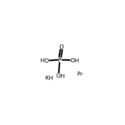 O=P(O)(O)O.[KH].[Pr]